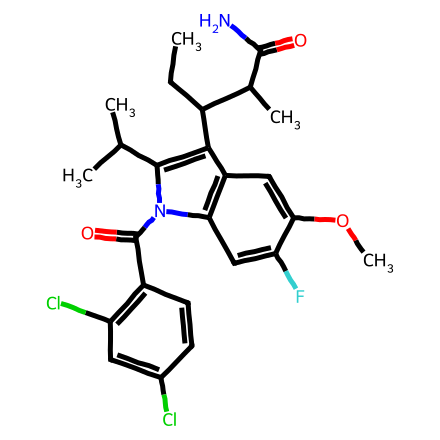 CCC(c1c(C(C)C)n(C(=O)c2ccc(Cl)cc2Cl)c2cc(F)c(OC)cc12)C(C)C(N)=O